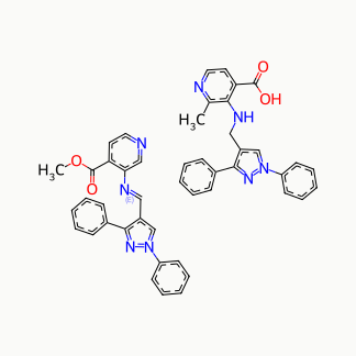 COC(=O)c1ccncc1/N=C/c1cn(-c2ccccc2)nc1-c1ccccc1.Cc1nccc(C(=O)O)c1NCc1cn(-c2ccccc2)nc1-c1ccccc1